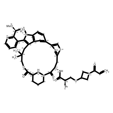 C=CC(=O)N1CC(OC[C@H](C(=O)N[C@H]2Cc3nc(cs3)-c3ccc4c(c3)c(c(-c3cccnc3[C@H](C)OC)n4CC)CC(C)(C)COC(=O)[C@@H]3CCCN(N3)C2=O)C(C)C)C1